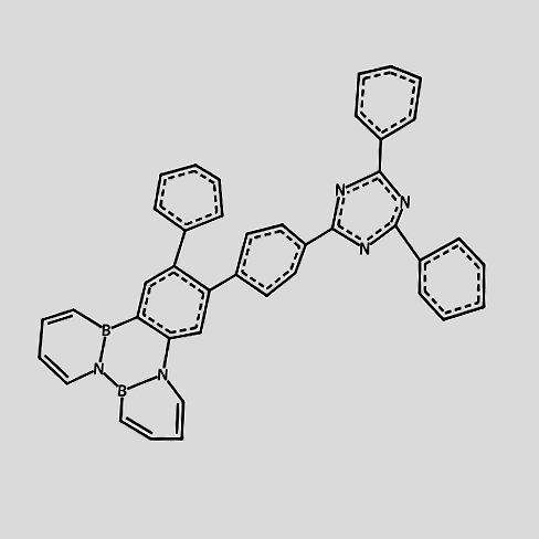 C1=CB2c3cc(-c4ccccc4)c(-c4ccc(-c5nc(-c6ccccc6)nc(-c6ccccc6)n5)cc4)cc3N3C=CC=CB3N2C=C1